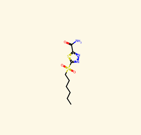 CCCCCCS(=O)(=O)c1nnc(C(N)=O)s1